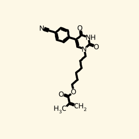 C=C(C)C(=O)OCCCCCCn1cc(-c2ccc(C#N)cc2)c(=O)[nH]c1=O